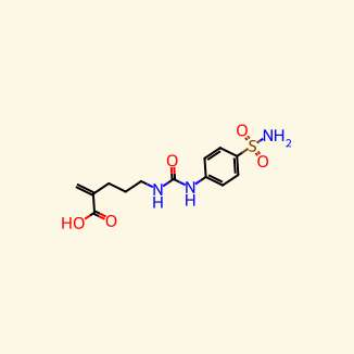 C=C(CCCNC(=O)Nc1ccc(S(N)(=O)=O)cc1)C(=O)O